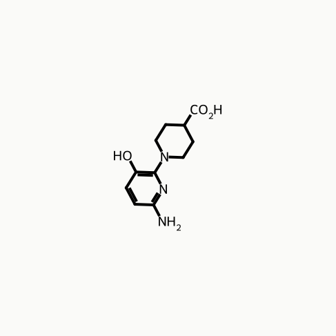 Nc1ccc(O)c(N2CCC(C(=O)O)CC2)n1